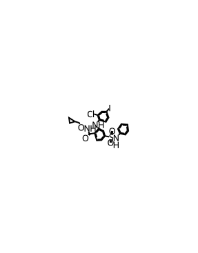 O=C(NOCC1CC1)c1ccc(S(=O)(=O)Nc2ccccc2)cc1Nc1ccc(I)cc1Cl